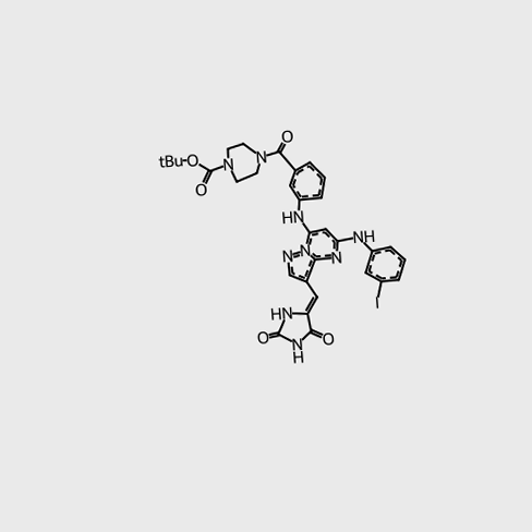 CC(C)(C)OC(=O)N1CCN(C(=O)c2cccc(Nc3cc(Nc4cccc(I)c4)nc4c(/C=C5\NC(=O)NC5=O)cnn34)c2)CC1